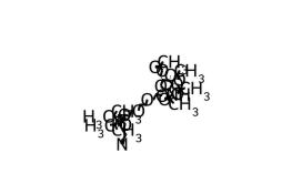 CC(=O)N[C@H]1[C@H](OCCOCCOCCOP(OCCC#N)N(C(C)C)C(C)C)O[C@H](COC(C)=O)[C@H](OC(C)=O)[C@@H]1OC(C)=O